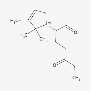 CCC(=O)CCC(C=O)[C@H]1CC=C(C)C1(C)C